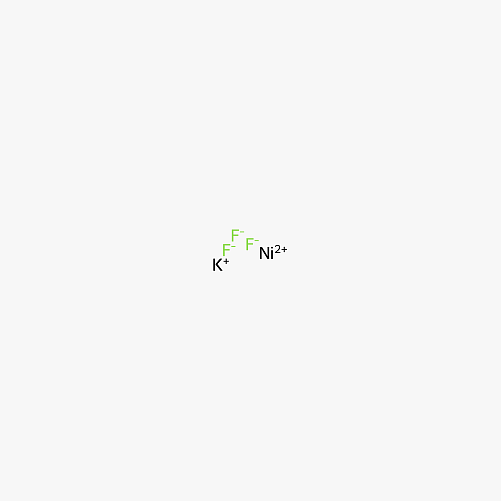 [F-].[F-].[F-].[K+].[Ni+2]